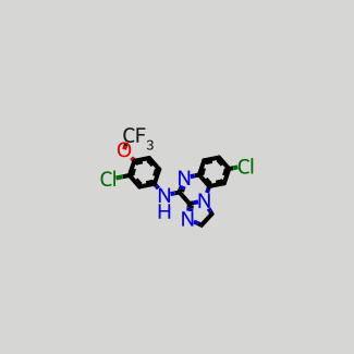 FC(F)(F)Oc1ccc(NC2=Nc3ccc(Cl)cc3N3CCN=C23)cc1Cl